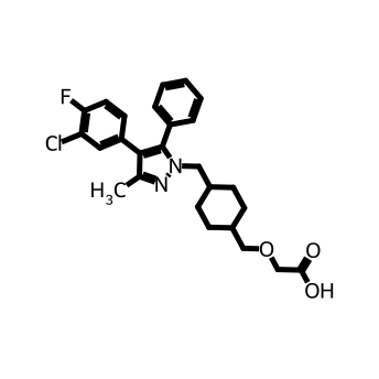 Cc1nn(CC2CCC(COCC(=O)O)CC2)c(-c2ccccc2)c1-c1ccc(F)c(Cl)c1